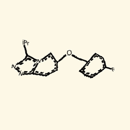 CC(C)c1nnc2ccc(Oc3ccc(F)cc3)cn12